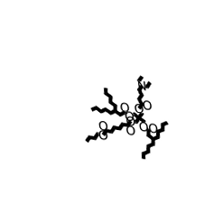 CCCCCC(CCCCC)CC(=O)OCC(COC(=O)CCCCC(=O)OCCCC)(COC(=O)CCCN(CC)CC)COC(=O)CC(CCCCC)CCCCC